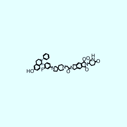 O=C1CCC(N2C(=O)c3cc4c(cc3C2=O)CN(C(=O)CN2CCC3(CC2)CCN(c2ccc([C@@H]5c6ccc(O)cc6CC[C@@H]5c5ccccc5)c(F)c2)C3)C4)C(=O)N1